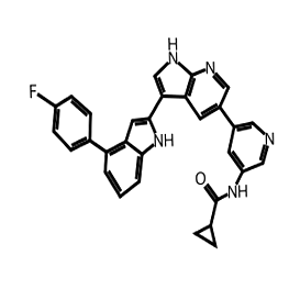 O=C(Nc1cncc(-c2cnc3[nH]cc(-c4cc5c(-c6ccc(F)cc6)cccc5[nH]4)c3c2)c1)C1CC1